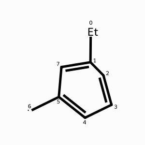 [CH2]Cc1cccc([CH2])c1